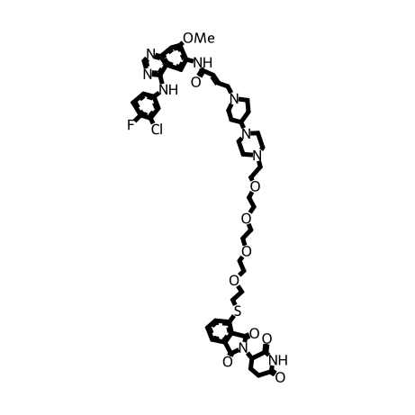 COc1cc2ncnc(Nc3ccc(F)c(Cl)c3)c2cc1NC(=O)/C=C/CN1CCC(N2CCN(CCOCCOCCOCCOCCSc3cccc4c3C(=O)N(C3CCC(=O)NC3=O)C4=O)CC2)CC1